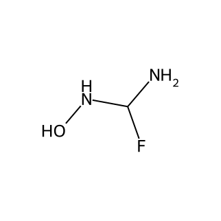 NC(F)NO